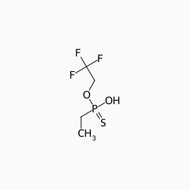 CCP(O)(=S)OCC(F)(F)F